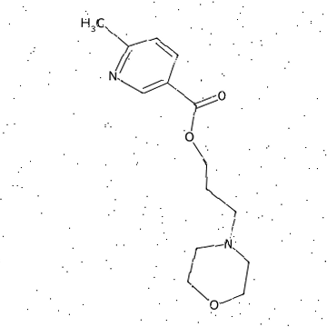 Cc1ccc(C(=O)OCCCN2CCOCC2)cn1